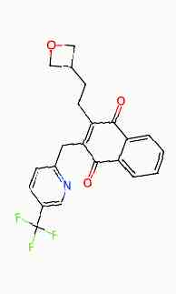 O=C1C(CCC2COC2)=C(Cc2ccc(C(F)(F)F)cn2)C(=O)c2ccccc21